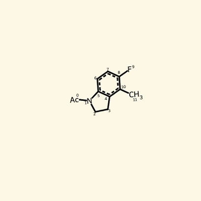 CC(=O)N1CCc2c1ccc(F)c2C